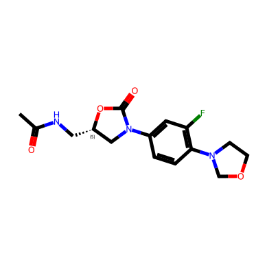 CC(=O)NC[C@H]1CN(c2ccc(N3CCOC3)c(F)c2)C(=O)O1